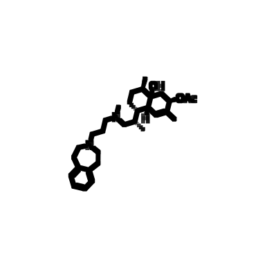 CC(=O)O[C@@H]1[C][C@@]2(O)[C@H](C)CC[C@@H]([C@H](C)CN(C)CCCN3CCc4ccccc4CC3)[C@H]2C=C1C